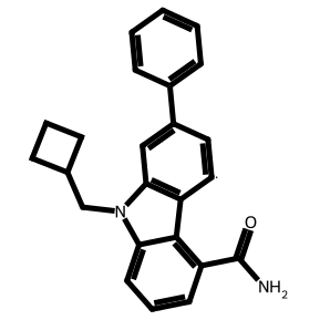 NC(=O)c1cccc2c1c1[c]cc(-c3ccccc3)cc1n2CC1CCC1